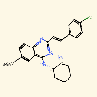 COc1ccc2nc(C=Cc3ccc(Cl)cc3)nc(N[C@H]3CCCC[C@H]3N)c2c1